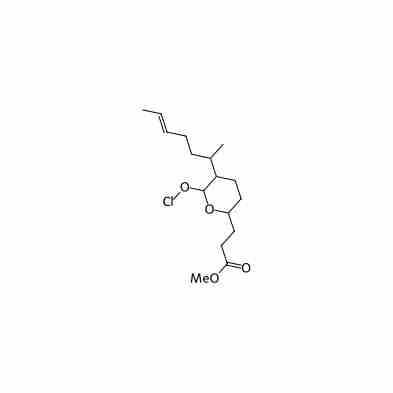 CC=CCCC(C)C1CCC(CCC(=O)OC)OC1OCl